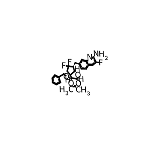 CC1(C)O[C@H]2O[C@@H]3[C@H](Cc4ccc5cc(F)c(N)nc5c4)C(F)(F)C[C@]3(OCc3ccccc3)[C@H]2O1